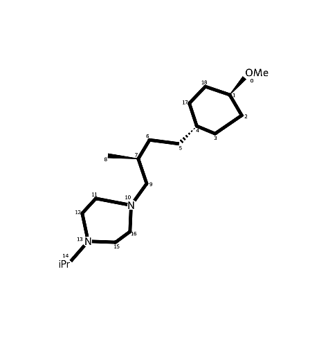 CO[C@H]1CC[C@H](CC[C@H](C)CN2CCN(C(C)C)CC2)CC1